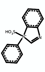 O=S(=O)(O)[N+]1(c2ccccc2)C=Nc2ccccc21